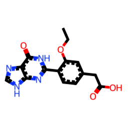 CCOc1cc(CC(=O)O)ccc1-c1nc2[nH]cnc2c(=O)[nH]1